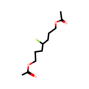 CC(=O)OCCCC(F)CCCOC(C)=O